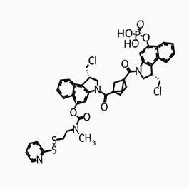 CN(CCSSc1ccccn1)C(=O)Oc1cc2c(c3ccccc13)[C@H](CCl)CN2C(=O)C12CCC(C(=O)N3C[C@@H](CCl)c4c3cc(OP(=O)(O)O)c3ccccc43)(C1)C2